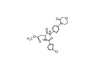 COC(=O)CC(NC(=O)c1ccc(Cl)s1)C(=O)Nc1ccc(N2CCOCC2=O)cc1